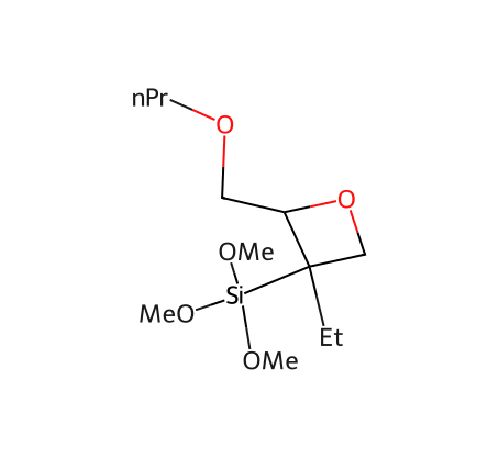 CCCOCC1OCC1(CC)[Si](OC)(OC)OC